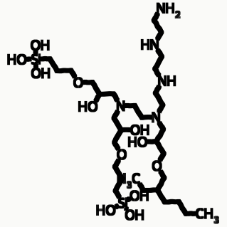 CCCCC(CC)COCC(O)CN(CCNCCNCCN)CCN(CC(O)COCCC[Si](O)(O)O)CC(O)COCCC[Si](O)(O)O